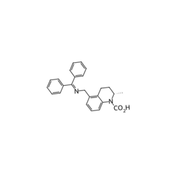 C[C@H]1CCc2c(CN=C(c3ccccc3)c3ccccc3)cccc2N1C(=O)O